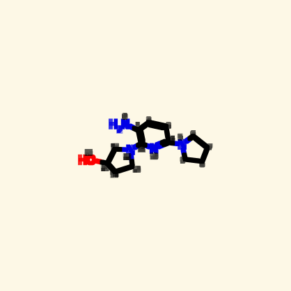 Nc1ccc(N2CCCC2)nc1N1CCC(O)C1